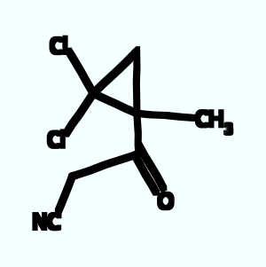 CC1(C(=O)CC#N)CC1(Cl)Cl